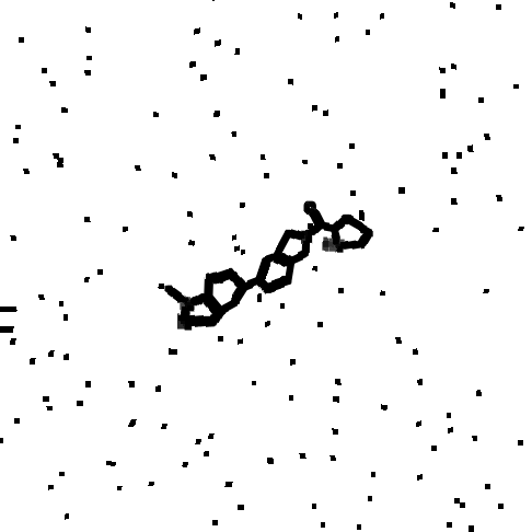 Cn1ncc2cc(-c3ccc4c(c3)CN(C(=O)C3CCCN3)C4)ccc21